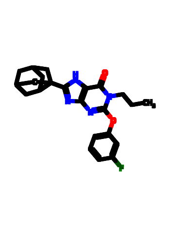 CCCn1c(Oc2cccc(F)c2)nc2nc(C34CC5CC(CC3C5)C4)[nH]c2c1=O